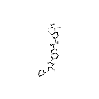 CCCCC(=O)N(OC(C)=O)c1ccc(NC(=O)c2cc3cc(C(=N)NC(=O)OCc4ccccc4)ccc3o2)cc1CC